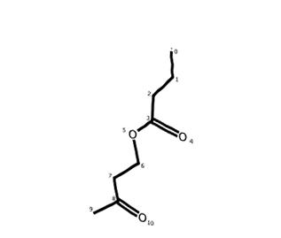 [CH2]CCC(=O)OCCC(C)=O